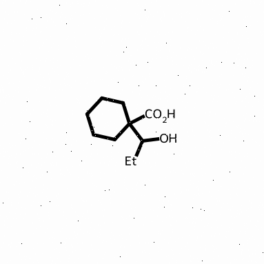 CCC(O)C1(C(=O)O)CCCCC1